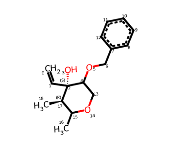 C=C[C@@]1(O)C(OCc2ccccc2)COC(C)[C@H]1C